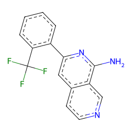 Nc1nc(-c2ccccc2C(F)(F)F)cc2ccncc12